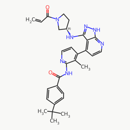 C=CC(=O)N1CC[C@@H](Nc2n[nH]c3nccc(-c4ccnc(NC(=O)c5ccc(C(C)(C)C)cc5)c4C)c23)C1